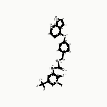 Cn1cc(C(F)(F)F)cc(NC(=O)NCc2ccc(Oc3ccnc4[nH]ccc34)cc2)c1=O